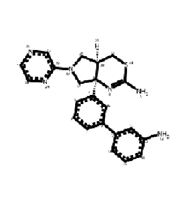 NC1=N[C@@]2(c3cccc(-c4cccc(N)c4)c3)CN(c3cnccn3)C[C@H]2CS1